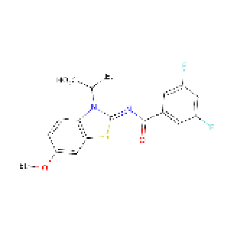 CCOc1ccc2c(c1)s/c(=N\C(=O)c1cc(F)cc(F)c1)n2C(CC)C(=O)O